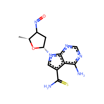 C[C@H]1O[C@@H](n2cc(C(N)=S)c3c(N)ncnc32)CC1N=O